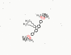 CCCCCCC1(CCCCCC)c2cc(-c3ccc(B4OC(C)(C)C(C)(C)O4)cc3)ccc2-c2ccc(-c3ccc(B4OC(C)(C)C(C)(C)O4)cc3)cc21